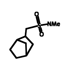 CNS(=O)(=O)CC1CC2CCC1C2